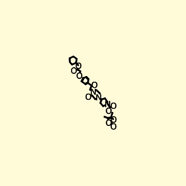 Cc1oc(=O)oc1COC(=O)N1CCC(N2CCN(CC(=O)c3ccc(OCC(=O)OC4CCCCC4)cc3)C(=O)C2)CC1